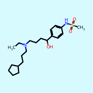 CCN(CCCC1CCCC1)CCCC(O)c1ccc(NS(C)(=O)=O)cc1